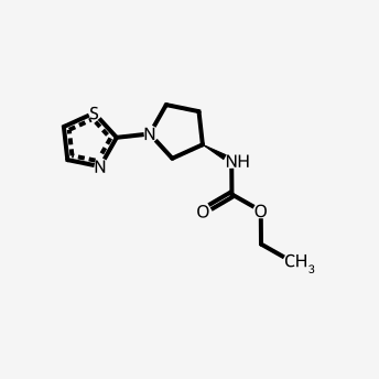 CCOC(=O)N[C@@H]1CCN(c2nccs2)C1